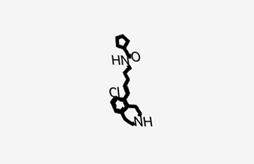 O=C(NCCCC=Cc1c(Cl)ccc2c1CCNCC2)C1CCCC1